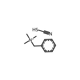 C[N+](C)(C)Cc1ccccc1.N#CS